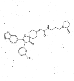 Cc1cccc(C2=C(c3ccc4ncnn4c3)OC3(CCC(=CC(=O)NCCCN4CCCC4=O)CC3)C2=O)c1